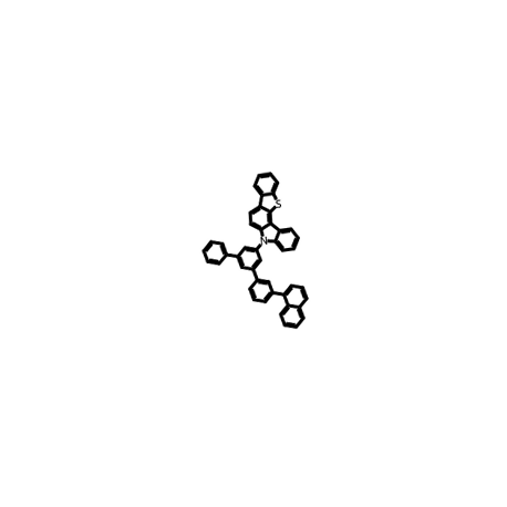 c1ccc(-c2cc(-c3cccc(-c4cccc5ccccc45)c3)cc(-n3c4ccccc4c4c5sc6ccccc6c5ccc43)c2)cc1